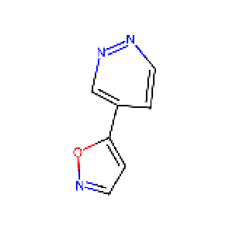 c1cc(-c2ccno2)cnn1